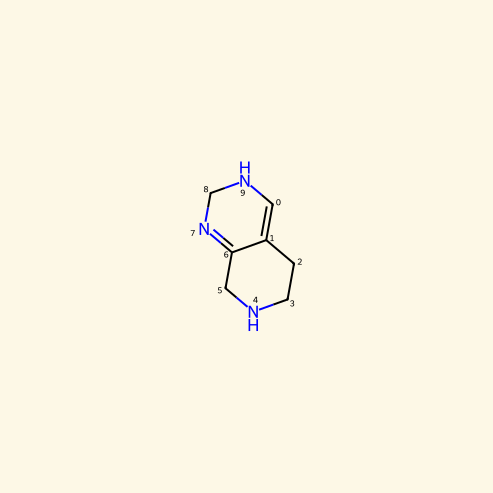 C1=C2CCNCC2=NCN1